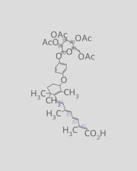 CC(=O)OC[C@H]1O[C@@H](Oc2ccc(OC3CCC(C)(C)C(/C=C/C(C)=C/C=C/C(C)=C/C(=O)O)=C3C)cc2)[C@H](OC(C)=O)[C@@H](OC(C)=O)[C@@H]1OC(C)=O